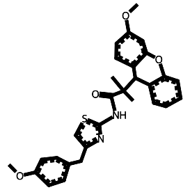 COc1ccc(Cc2csc(NC(=O)C(C)(C)C3c4ccccc4Oc4cc(OC)ccc43)n2)cc1